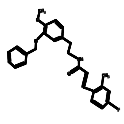 COc1ccc(CCNC(=O)C=Cc2ccc(F)cc2C)cc1OCc1ccccc1